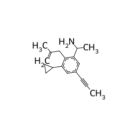 C=C(C)Cc1c(C(C)N)cc(C#CC)cc1C1CC1